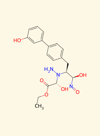 CCOC(=O)[C@@H](O)N(N)[C@@H](Cc1ccc(-c2cccc(O)c2)cc1)[C@@H](O)N=O